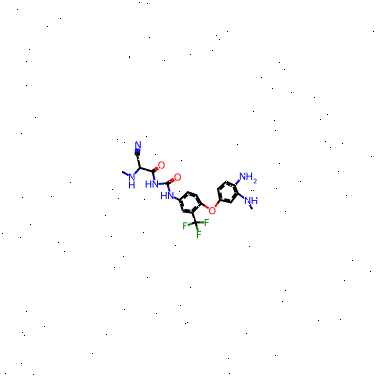 CNc1cc(Oc2ccc(NC(=O)NC(=O)C(C#N)NC)cc2C(F)(F)F)ccc1N